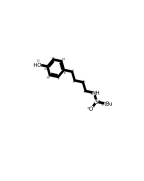 CC(C)(C)[S+]([O-])NCCCCc1ccc(O)cc1